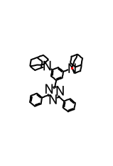 c1ccc(-c2nc(-c3ccccc3)nc(-c3cc(N4C5CC6CC(C5)CC4C6)cc(N4C5CC6CC(C5)CC4C6)c3)n2)cc1